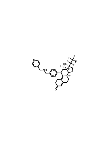 C[C@]12C[C@H](c3ccc(CNCc4ccncc4)cc3)C3=C4CCC(=O)C=C4CC[C@H]3[C@@H]1CC[C@]2(O)C(F)(F)C(F)(F)F